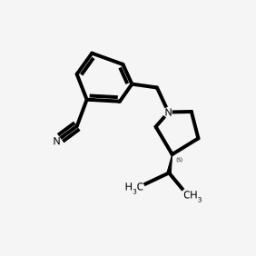 CC(C)[C@@H]1CCN(Cc2cccc(C#N)c2)C1